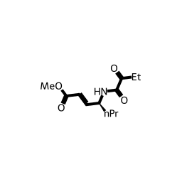 CCC[C@@H](/C=C/C(=O)OC)NC(=O)C(=O)CC